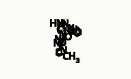 Cc1cccc(-c2nnc(C(=O)N3CCc4[nH]cnc4[C@@H]3c3cc4ccccn4n3)o2)n1